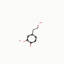 COCCc1ccc(O)c(OC)c1